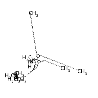 CCCCCCCCCCCCCCC#Cc1cc(C#CCCCCCCCCCCCCCC)cc(C(=C(CCCC)C(=C=[N+]=[N-])CCCC)c2cc(CCCCCCCCCCCCCCCCCCCCCCCCCCCCCC)cc(CCCCCCCCCCCCCCCCCCCCCCCCCCCCCC)c2)c1.CC[N](C)[Ni][N](C)CC